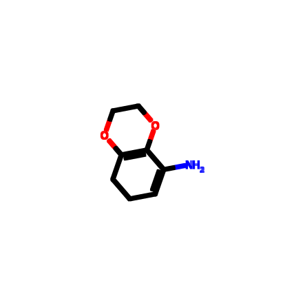 NC1=CCCC2=C1OCCO2